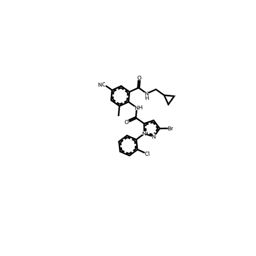 Cc1cc(C#N)cc(C(=O)NCC2CC2)c1NC(=O)c1cc(Br)nn1-c1ccccc1Cl